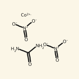 NC(N)=O.O=[N+]([O-])[O-].O=[N+]([O-])[O-].[Co+2]